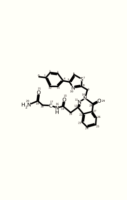 Cc1ccc(-c2csc(Cn3nc(CC(=O)NCCC(N)=O)c4ccccc4c3=O)n2)cc1